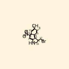 Cc1ccc2c3c(cc([N+](=O)[O-])c2c1)NCC3CBr